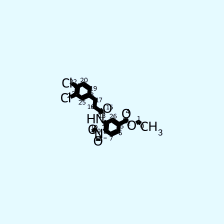 CCOC(=O)c1ccc([N+](=O)[O-])c(NC(=O)CCc2ccc(Cl)c(Cl)c2)c1